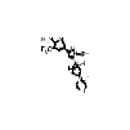 CC(C)n1nc(-c2cnc(N)c(C(F)(F)F)c2)cc1[C@@H]1[C@@H]2CC(N3CCOC[C@H]3C)C[C@@H]21